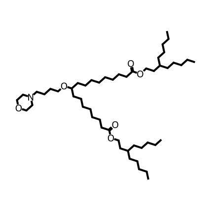 CCCCCC(CCCCC)CCOC(=O)CCCCCCCCC(CCCCCCCC(=O)OCCC(CCCCC)CCCCC)OCCCCN1CCOCC1